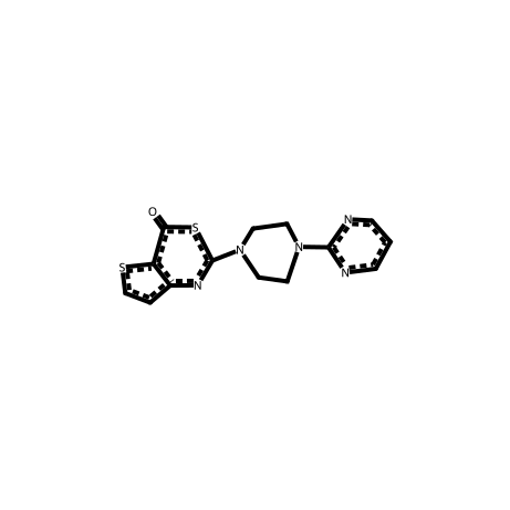 O=c1sc(N2CCN(c3ncccn3)CC2)nc2ccsc12